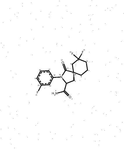 NC(=O)C1C[C@@]2(C[CH]CC(F)(F)C2)C(=O)N1c1cccc(F)c1